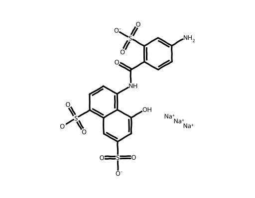 Nc1ccc(C(=O)Nc2ccc(S(=O)(=O)[O-])c3cc(S(=O)(=O)[O-])cc(O)c23)c(S(=O)(=O)[O-])c1.[Na+].[Na+].[Na+]